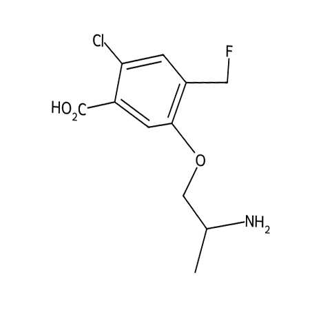 CC(N)COc1cc(C(=O)O)c(Cl)cc1CF